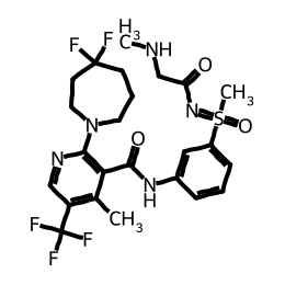 CNCC(=O)N=S(C)(=O)c1cccc(NC(=O)c2c(N3CCCC(F)(F)CC3)ncc(C(F)(F)F)c2C)c1